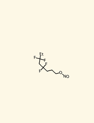 CCC(F)(F)CC(F)(F)CCCON=O